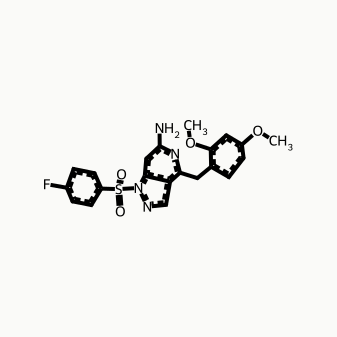 COc1ccc(Cc2nc(N)cc3c2cnn3S(=O)(=O)c2ccc(F)cc2)c(OC)c1